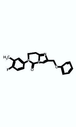 Cc1cc(N2CCc3nc(COc4ccccc4)cn3C2=O)ccc1F